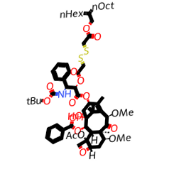 CCCCCCCCC(CCCCCC)COC(=O)CSSCC(=O)O[C@H](C(=O)O[C@@H]1C[C@]2(O)[C@H](OC(O)c3ccccc3)[C@H]3[C@@]4(OC(C)=O)CO[C@H]4C[C@@H](OC)[C@]3(C)C(=O)[C@@H](OC)C(=C1C)C2(C)C)[C@H](NC(=O)OC(C)(C)C)c1ccccc1